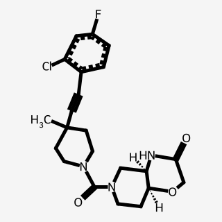 CC1(C#Cc2ccc(F)cc2Cl)CCN(C(=O)N2CC[C@@H]3OCC(=O)N[C@@H]3C2)CC1